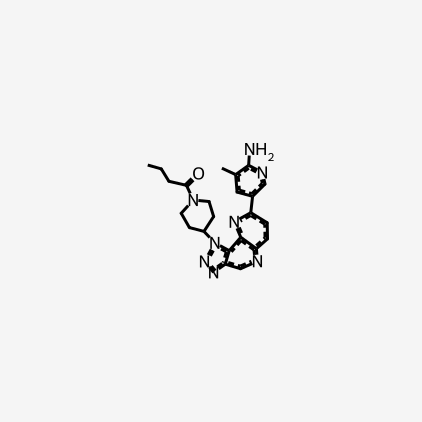 CCCC(=O)N1CCC(n2nnc3cnc4ccc(-c5cnc(N)c(C)c5)nc4c32)CC1